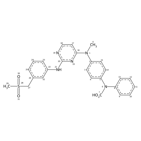 CN(c1ccc(N(C(=O)O)c2ccccc2)cc1)c1ccnc(Nc2cccc(CS(C)(=O)=O)c2)n1